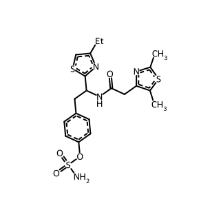 CCc1csc(C(Cc2ccc(OS(N)(=O)=O)cc2)NC(=O)Cc2nc(C)sc2C)n1